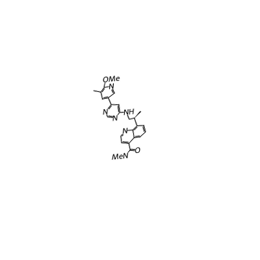 CNC(=O)c1ccnc2c([C@H](C)CNc3cc(-c4cnc(OC)c(C)c4)ncn3)cccc12